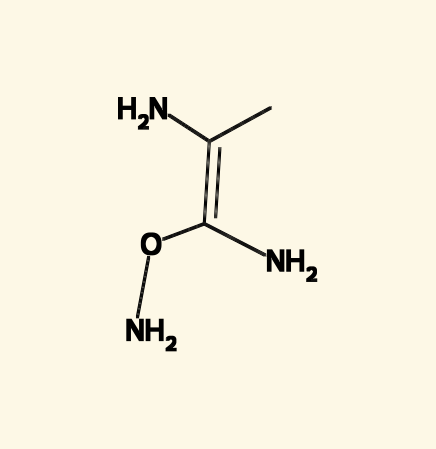 C/C(N)=C(\N)ON